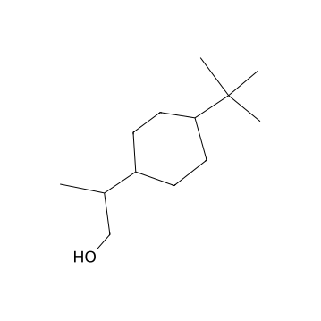 CC(CO)C1CCC(C(C)(C)C)CC1